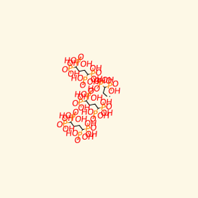 O=P(O)(O)C(CCC(P(=O)(O)O)P(=O)(O)O)P(=O)(O)O.O=P(O)(O)C(CCC(P(=O)(O)O)P(=O)(O)O)P(=O)(O)O.O=P(O)(O)C(CCC(P(=O)(O)O)P(=O)(O)O)P(=O)(O)O.[CH2]CC(P(=O)(O)O)P(=O)(O)O